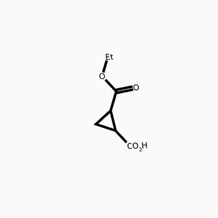 CCOC(=O)C1CC1C(=O)O